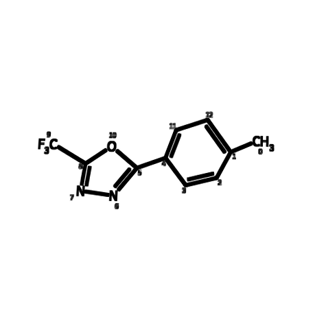 Cc1ccc(-c2nnc(C(F)(F)F)o2)cc1